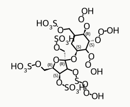 O=S(=O)(O)OCC1C[C@H](O[C@]2(COS(=O)(=O)O)O[C@H](COS(=O)(=O)O)[C@H](OS(=O)(=O)O)C2OSOOO)C(OOO)[C@@H](OOO)[C@@H]1OOO